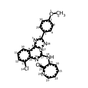 COc1ccc(-c2nc3c4cccc(Cl)c4nc(Nc4ccccnc4=O)n3n2)cc1